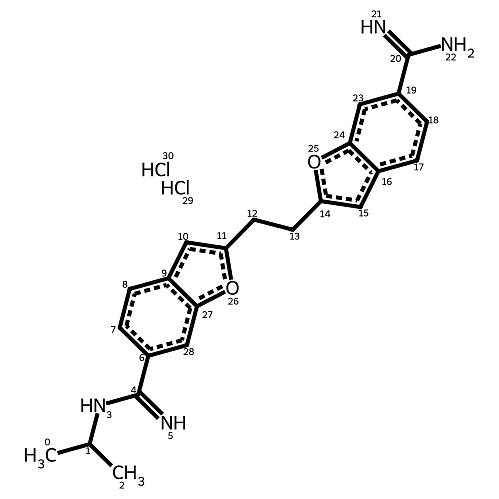 CC(C)NC(=N)c1ccc2cc(CCc3cc4ccc(C(=N)N)cc4o3)oc2c1.Cl.Cl